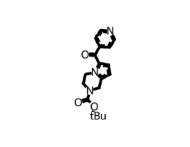 CC(C)(C)OC(=O)N1CCn2c(ccc2C(=O)c2ccncc2)C1